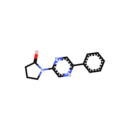 O=C1CCCN1c1cnc(-c2[c]cccc2)cn1